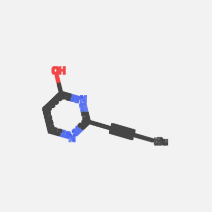 CC(C)(C)C#Cc1nccc(O)n1